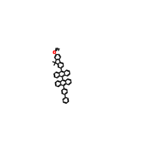 CC(C)Oc1ccc2c(c1)C(C)(C)c1cc(-c3c4ccccc4c(-c4c5ccccc5c(-c5ccc(-c6ccccc6)cc5)c5ccccc45)c4ccccc34)ccc1-2